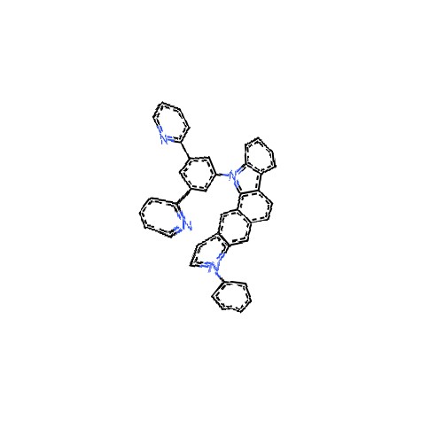 c1ccc(-n2ccc3cc4c(ccc5c6ccccc6n(-c6cc(-c7ccccn7)cc(-c7ccccn7)c6)c45)cc32)cc1